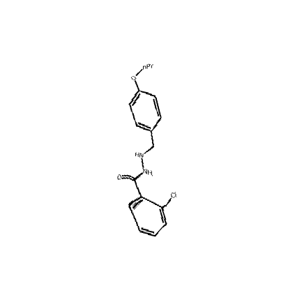 CCCOc1ccc(CNNC(=O)c2ccccc2Cl)cc1